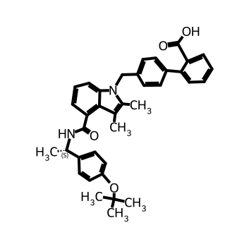 Cc1c(C)n(Cc2ccc(-c3ccccc3C(=O)O)cc2)c2cccc(C(=O)N[C@@H](C)c3ccc(OC(C)(C)C)cc3)c12